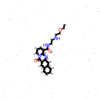 CCOCCNCCNC(=O)c1cccn2c(=O)c3cc4ccccc4cc3nc12